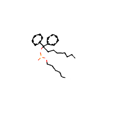 CCCCCCCC(OP(O)OCCCCCC)(c1ccccc1)c1ccccc1